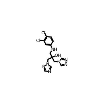 OC(CNc1ccc(Cl)c(Cl)c1)(Cn1cnnc1)Cn1cncn1